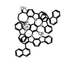 C=C1CC/C=C(/C)Sc2c1ccc1c3ccc(-c4cccc5ccccc45)cc3n(-c3c(C#N)c(N4c5ccccc5C5C=CC=CC54)c(-n4c5cccc(-c6cccc7ccccc67)c5c5ccc6c7ccccc7sc6c54)c(C#N)c3-n3c4ccccc4c4ccccc43)c21